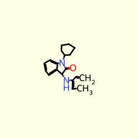 C=C/C(=C\C)NC1C(=O)N(C2CCCCC2)c2ccccc21